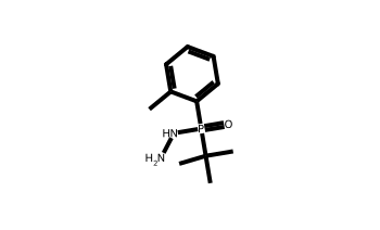 Cc1ccccc1P(=O)(NN)C(C)(C)C